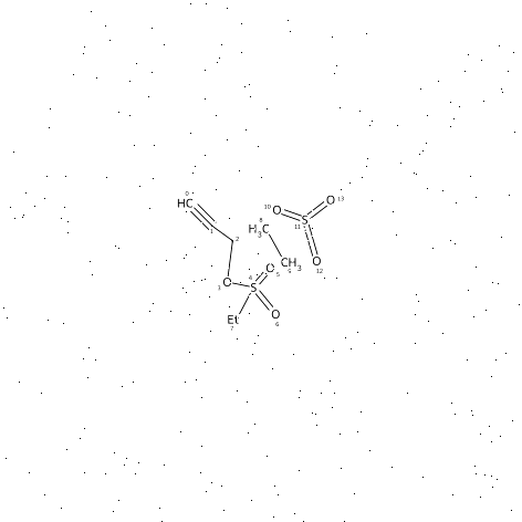 C#CCOS(=O)(=O)CC.CC.O=S(=O)=O